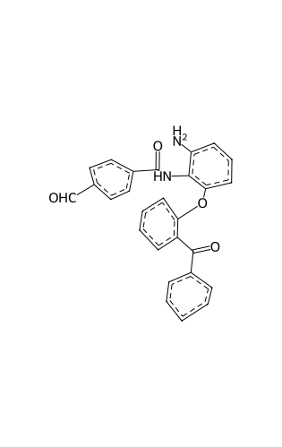 Nc1cccc(Oc2ccccc2C(=O)c2ccccc2)c1NC(=O)c1ccc(C=O)cc1